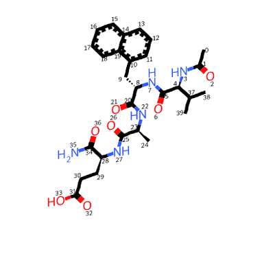 CC(=O)N[C@H](C(=O)N[C@@H](Cc1cccc2ccccc12)C(=O)N[C@@H](C)C(=O)N[C@@H](CCC(=O)O)C(N)=O)C(C)C